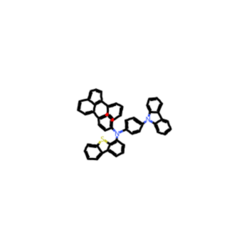 c1ccc(-c2cccc3cccc(-c4ccc(N(c5ccc(-n6c7ccccc7c7ccccc76)cc5)c5cccc6c5sc5ccccc56)cc4)c23)cc1